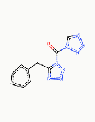 O=C(n1cnnn1)n1nnnc1Cc1ccccc1